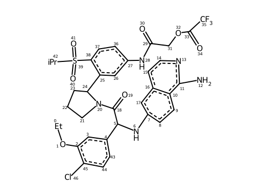 CCOc1cc(C(Nc2ccc3c(N)nccc3c2)C(=O)N2CCCC2c2cc(NC(=O)COC(=O)C(F)(F)F)ccc2S(=O)(=O)C(C)C)ccc1Cl